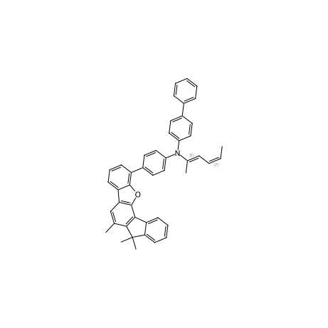 C/C=C\C=C(/C)N(c1ccc(-c2ccccc2)cc1)c1ccc(-c2cccc3c2oc2c4c(c(C)cc23)C(C)(C)c2ccccc2-4)cc1